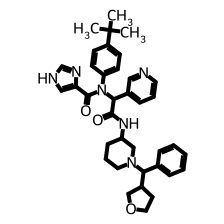 CC(C)(C)c1ccc(N(C(=O)c2c[nH]cn2)C(C(=O)NC2CCCN(C(c3ccccc3)C3CCOC3)C2)c2cccnc2)cc1